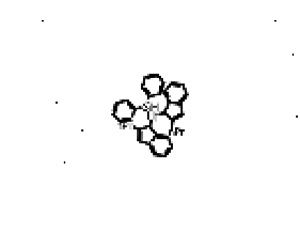 CCCC1=Cc2ccccc2[CH]1[Hf]([CH]1C(CCC)=Cc2ccccc21)[SiH](c1ccccc1)c1ccccc1